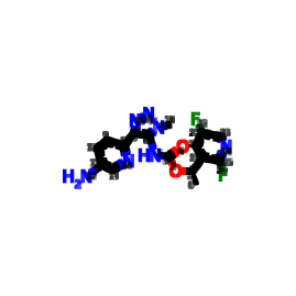 C[C@@H](OC(=O)Nc1c(-c2ccc(N)cn2)nnn1C)c1cc(F)cnc1F